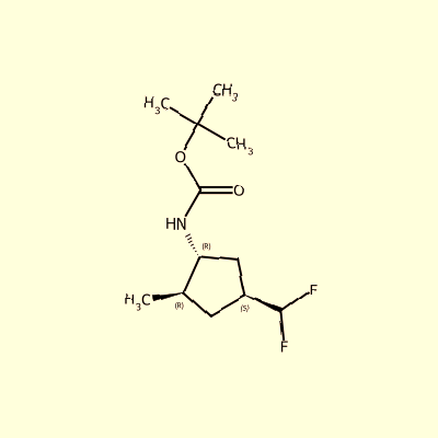 C[C@@H]1C[C@H](C(F)F)C[C@H]1NC(=O)OC(C)(C)C